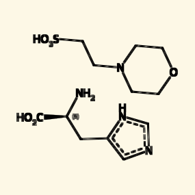 N[C@@H](Cc1cnc[nH]1)C(=O)O.O=S(=O)(O)CCN1CCOCC1